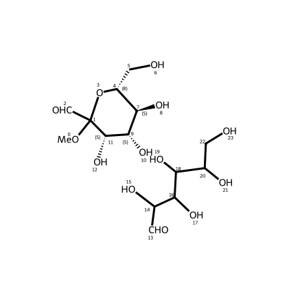 COC1(C=O)O[C@H](CO)[C@@H](O)[C@H](O)[C@@H]1O.O=CC(O)C(O)C(O)C(O)CO